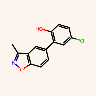 Cc1noc2ccc(-c3cc(Cl)ccc3O)cc12